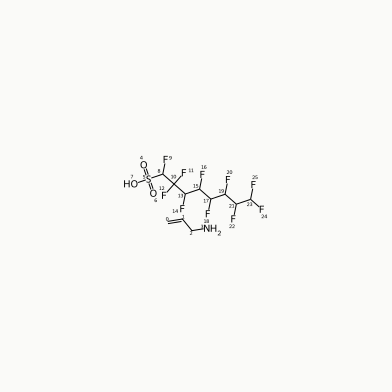 C=CCN.O=S(=O)(O)C(F)C(F)(F)C(F)C(F)C(F)C(F)C(F)C(F)F